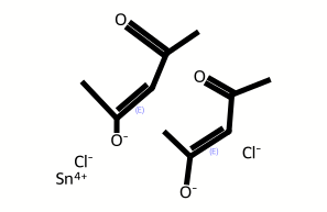 CC(=O)/C=C(\C)[O-].CC(=O)/C=C(\C)[O-].[Cl-].[Cl-].[Sn+4]